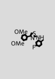 COc1ccc(OC)c(-c2csc(Nc3cc(F)ccc3C)n2)c1